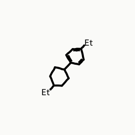 CCc1ccc(C2CCC(CC)CC2)cc1